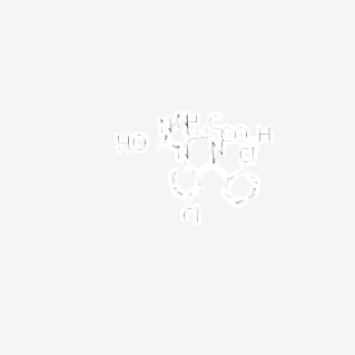 CC(=O)O.OCc1nnc2n1-c1ccc(Cl)cc1C(c1ccccc1Cl)=NC2